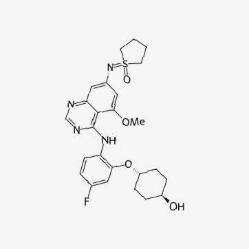 COc1cc(N=S2(=O)CCCC2)cc2ncnc(Nc3ccc(F)cc3O[C@H]3CC[C@H](O)CC3)c12